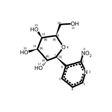 O=[N+]([O-])c1ncccc1[C@@H]1O[C@H](CO)[C@H](O)[C@H](O)[C@H]1O